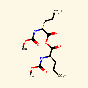 CC(C)(C)OC(=O)N[C@H](CCC(=O)O)C(=O)OC(=O)[C@@H](CCC(=O)O)NC(=O)OC(C)(C)C